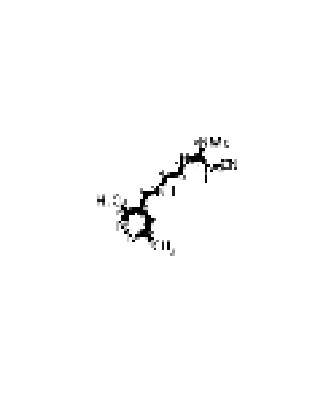 CN/C(=N/CCNCc1cc(C)nnc1C)NC#N